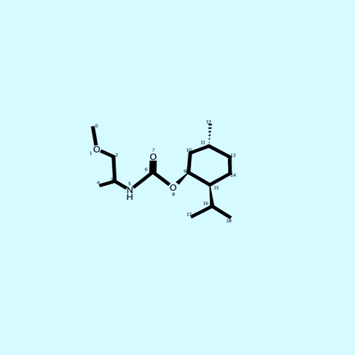 COCC(C)NC(=O)O[C@H]1C[C@H](C)CC[C@H]1C(C)C